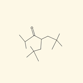 CC(C)C(=O)C(CC(C)(C)C)CC(C)(C)C